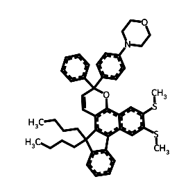 CCCCC1(CCCC)c2ccccc2-c2c1c1c(c3cc(SC)c(SC)cc23)OC(c2ccccc2)(c2ccc(N3CCOCC3)cc2)C=C1